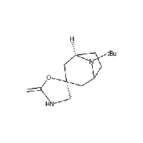 C=C1NC[C@]2(CC3CC[C@H](C2)N3C(C)(C)C)O1